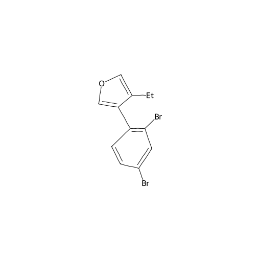 [CH2]Cc1cocc1-c1ccc(Br)cc1Br